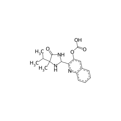 CC(C)C1(C)NC(c2nc3ccccc3cc2OC(=O)O)NC1=O